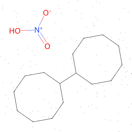 C1CCCC(C2CCCCCCC2)CCC1.O=[N+]([O-])O